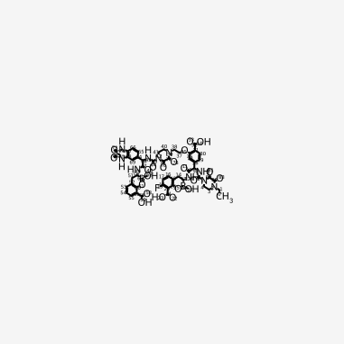 CCN1CCN(C(=O)NC(C(=O)N[C@H]2Cc3ccc(F)c(C(=O)O)c3OB2O)c2ccc(C(=O)O)c(OCCN3CCN(C(=O)NC(C(=O)N[C@H]4Cc5cccc(C(=O)O)c5OB4O)c4ccc5c(c4)NS(=O)(=O)N5)C(=O)C3=O)c2)C(=O)C1=O